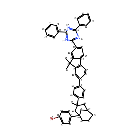 CC1(c2ccc(-c3ccc4c(c3)C(C)(C)c3cc(-c5nc(-c6ccccc6)nc(-c6ccccc6)n5)ccc3-4)cc2)CC2CCCC(c3ccc(Br)cc3)(C2)C1